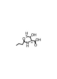 CCCC(=O)N[C@H](C(=O)O)C(O)S